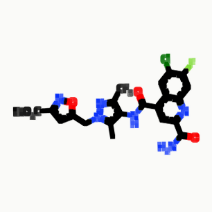 CCOC(=O)c1cc(Cn2nc(C(F)(F)F)c(NC(=O)c3cc(C(N)=O)nc4cc(F)c(Cl)cc34)c2C)on1